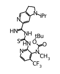 CC(C)N1CCc2cnc(C(=N)NC(=S)Nc3nccc(C(F)(F)F)c3N(C)C(=O)OC(C)(C)C)cc21